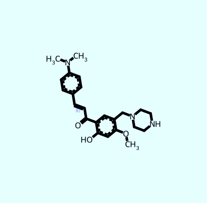 COc1cc(O)c(C(=O)/C=C/c2ccc(N(C)C)cc2)cc1CN1CCNCC1